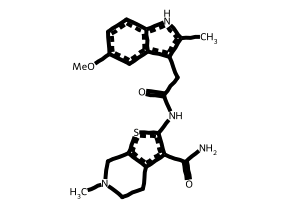 COc1ccc2[nH]c(C)c(CC(=O)Nc3sc4c(c3C(N)=O)CCN(C)C4)c2c1